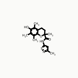 Cc1cc(NC(=O)C2(C)CCc3c(C)c(O)c(C)c(C)c3O2)sn1